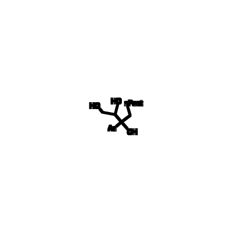 CCCCCCC(O)(C(C)=O)C(O)CO